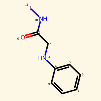 O=C(CNc1ccccc1)NI